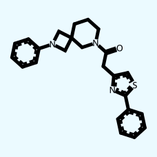 O=C(Cc1csc(-c2ccccc2)n1)N1CCCC2(C1)CN(c1ccccc1)C2